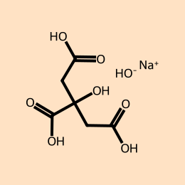 O=C(O)CC(O)(CC(=O)O)C(=O)O.[Na+].[OH-]